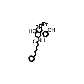 CC(C)C[N@+]1(C)CC[C@]2(c3cccc(O)c3)C[C@H](NC(=O)CCCCCc3ccccc3)CCC2(O)C1